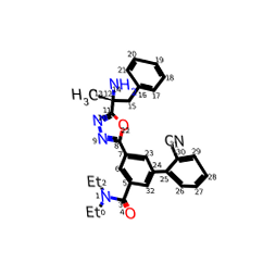 CCN(CC)C(=O)c1cc(-c2nnc([C@](C)(N)Cc3ccccc3)o2)cc(-c2ccccc2C#N)c1